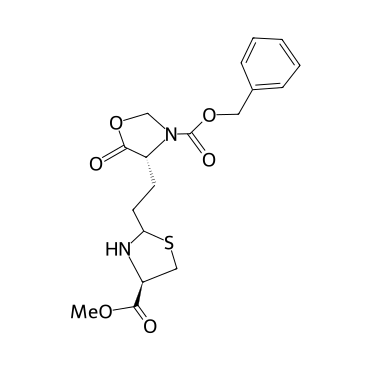 COC(=O)[C@@H]1CSC(CC[C@@H]2C(=O)OCN2C(=O)OCc2ccccc2)N1